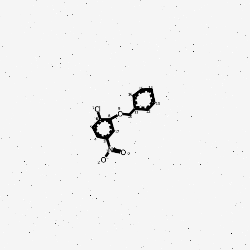 O=[N+]([O-])c1ccc(Cl)c(OCc2ccccc2)c1